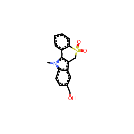 Cn1c2c(c3cc(CO)ccc31)CS(=O)(=O)c1ccccc1-2